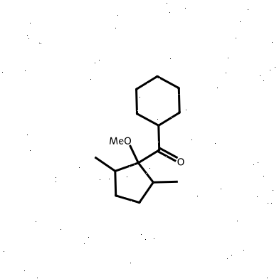 COC1(C(=O)C2CCCCC2)C(C)CCC1C